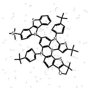 CC(C)(C)c1ccc(N2c3cc(-n4c5ccc([Si](C)(C)C)cc5c5sc6ccccc6c54)cc4c3B(c3cc(C(C)(C)C)sc3N4c3ccc(C(C)(C)C)cc3)c3c2ccc2c4c(sc32)C(C)(C)CO4)cc1